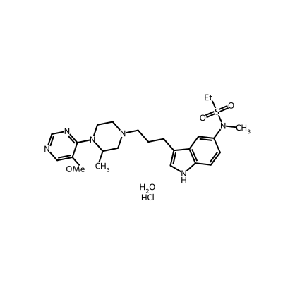 CCS(=O)(=O)N(C)c1ccc2[nH]cc(CCCN3CCN(c4ncncc4OC)C(C)C3)c2c1.Cl.O